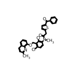 Cc1ccc2cccc(OCc3c(Cl)ccc(N(C)C(=O)Cc4ccc(C(=O)c5ccccc5)s4)c3Cl)c2n1